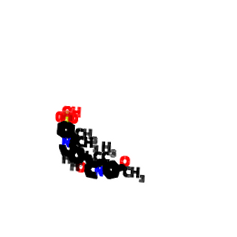 CC(=O)c1ccc2c(c1)C(C)(C)C1=[N+]2CCC2O[C@H]3C[C@H]4CCN5C(=C4C=C3C=C12)C(C)(C)c1cc(S(=O)(=O)O)ccc15